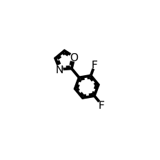 Fc1ccc(-c2ncco2)c(F)c1